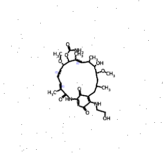 COC1/C=C\C=C(/C)C(=O)NC2=CC(=O)C(NCCO)=C(CC(C)CC(OC)C(O)C(C)/C=C(\C)C1OC(N)=O)C2=O